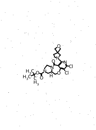 CC(C)(C)OC(=O)N1CCN2C(=O)c3c(N4CCC5(COC5)C4)nc(Cl)c(Cl)c3OC[C@H]2C1